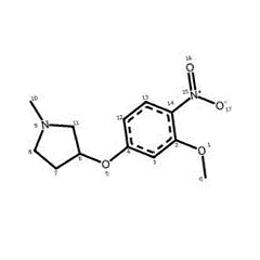 COc1cc(OC2CCN(C)C2)ccc1[N+](=O)[O-]